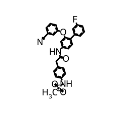 CS(=O)(=O)Nc1ccc(CC(=O)Nc2ccc(-c3cccc(F)c3)c(Oc3cccc(C#N)c3)c2)cc1